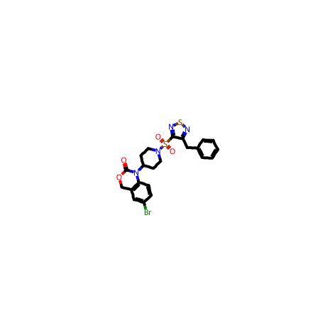 O=C1OCc2cc(Br)ccc2N1C1CCN(S(=O)(=O)c2nsnc2Cc2ccccc2)CC1